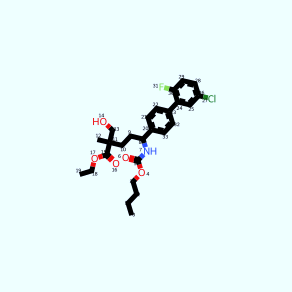 CCCCOC(=O)NC(CCC(C)(CO)C(=O)OCC)c1ccc(-c2cc(Cl)ccc2F)cc1